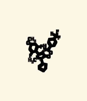 COc1cc(F)c(-c2c(NC(=O)c3ccc(C(F)(F)F)cc3)c(=O)n(-c3ccccc3)n2C)c(F)c1